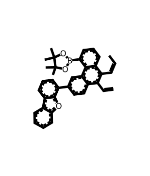 C=Cc1c(/C=C\C)c2cccc(B3OC(C)(C)C(C)(C)O3)c2c2cc(-c3cccc4c3oc3ccccc34)ccc12